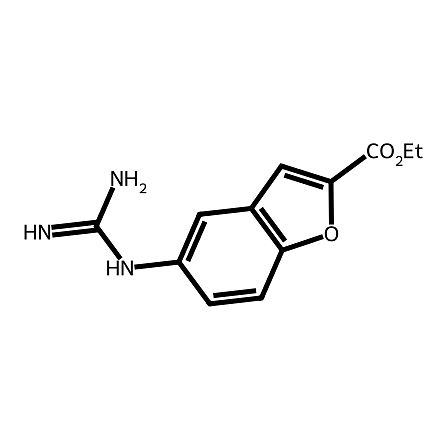 CCOC(=O)c1cc2cc(NC(=N)N)ccc2o1